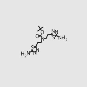 CC(C)(C)OC(=O)N(CCc1nnc(N)s1)CCc1nnc(N)s1